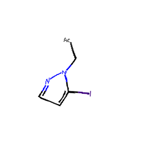 CC(=O)Cn1nccc1I